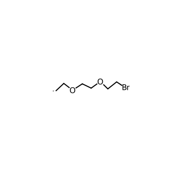 [CH2]COCCOCCBr